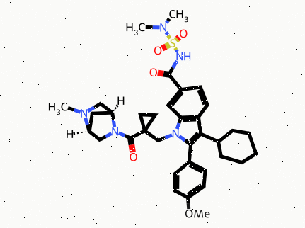 COc1ccc(-c2c(C3CCCCC3)c3ccc(C(=O)NS(=O)(=O)N(C)C)cc3n2CC2(C(=O)N3C[C@@H]4C[C@H]3CN4C)CC2)cc1